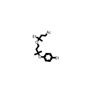 CCc1ccc(OC(C)(C)CCOC(C)(CC)CCC(C)=O)cc1